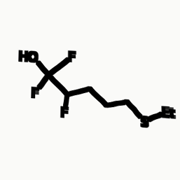 CCSCCCC(F)C(O)(F)F